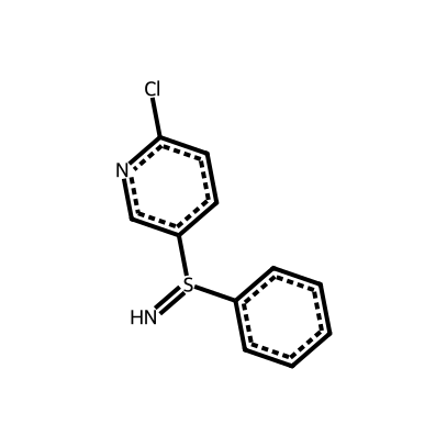 N=S(c1ccccc1)c1ccc(Cl)nc1